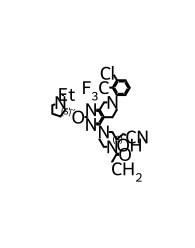 C=CC(=O)N1CCN(c2nc(OC[C@@H]3CCCN3CC)nc3c2CCN(c2cccc(Cl)c2C(F)(F)F)C3)C[C@@]1(O)CC#N